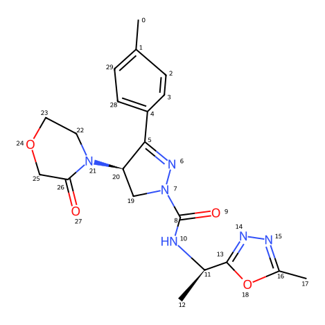 Cc1ccc(C2=NN(C(=O)N[C@H](C)c3nnc(C)o3)C[C@H]2N2CCOCC2=O)cc1